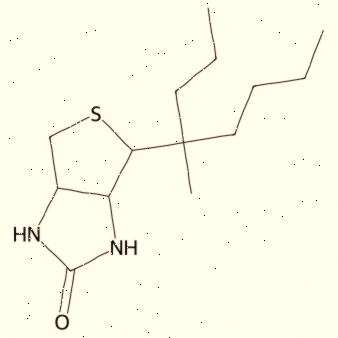 CCCCC(C)(CCC)C1SCC2NC(=O)NC21